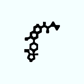 C[C@@]1(N2CCC(c3cc4cc(NC(=O)[C@H]5CC56CC6)ncc4cc3Cl)CC2)COC[C@@H]1O